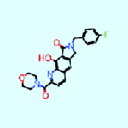 O=C(c1ccc2cc3c(c(O)c2n1)C(=O)N(Cc1ccc(F)cc1)C3)N1CCOCC1